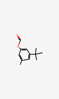 Cc1cc(OC=O)cc(C(C)(C)C)c1